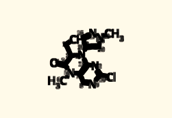 CCC1C(=O)N(C)c2cnc(Cl)nc2N1c1cnn(C)c1